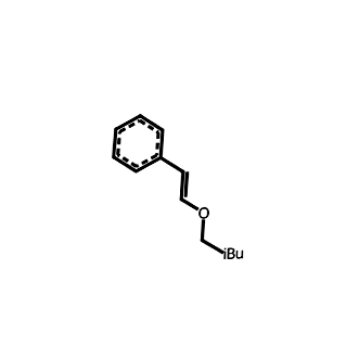 CCC(C)CO/C=C/c1ccccc1